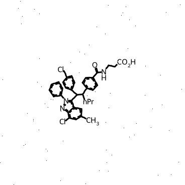 CCCC(c1ccc(C(=O)NCCC(=O)O)cc1)C(c1ccc(Cl)cc1)c1c2cc(C)cc(Cl)c2nn1-c1ccccc1